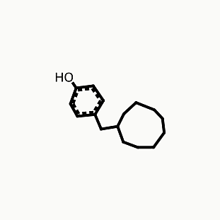 Oc1ccc(CC2CCCCCCCC2)cc1